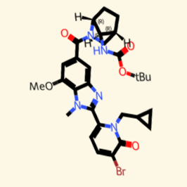 COc1cc(C(=O)N2C[C@H]3CC[C@@H]2[C@@H]3NC(=O)OC(C)(C)C)cc2nc(-c3ccc(Br)c(=O)n3CC3CC3)n(C)c12